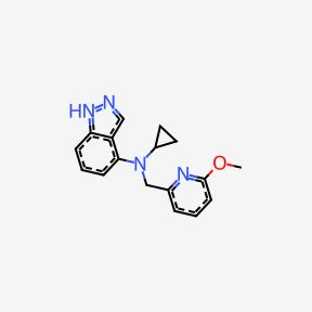 COc1cccc(CN(c2cccc3[nH]ncc23)C2CC2)n1